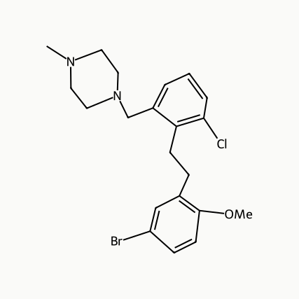 COc1ccc(Br)cc1CCc1c(Cl)cccc1CN1CCN(C)CC1